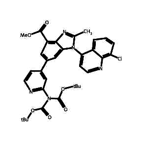 COC(=O)c1cc(-c2ccnc(N(C(=O)OC(C)(C)C)C(=O)OC(C)(C)C)c2)cc2c1nc(C)n2-c1ccnc2c(Cl)cccc12